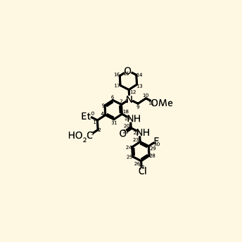 CCC(CC(=O)O)c1ccc(N(CCOC)C2CCOCC2)c(NC(=O)Nc2ccc(Cl)cc2F)c1